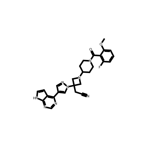 COc1cccc(F)c1C(=O)N1CCC(N2CC(CC#N)(n3cc(-c4ncnc5[nH]ccc45)cn3)C2)CC1